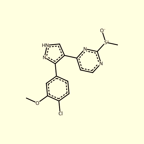 COc1cc(-c2n[nH]cc2-c2ccnc([S+](C)[O-])n2)ccc1Cl